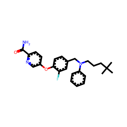 CC(C)(C)CCCN(Cc1ccc(Oc2ccc(C(N)=O)nc2)c(F)c1)c1ccccc1